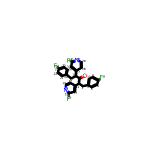 O=C(C(Cc1ccc(F)cc1)c1ccnc(F)c1)C(Cc1ccc(F)cc1)c1ccnc(F)c1